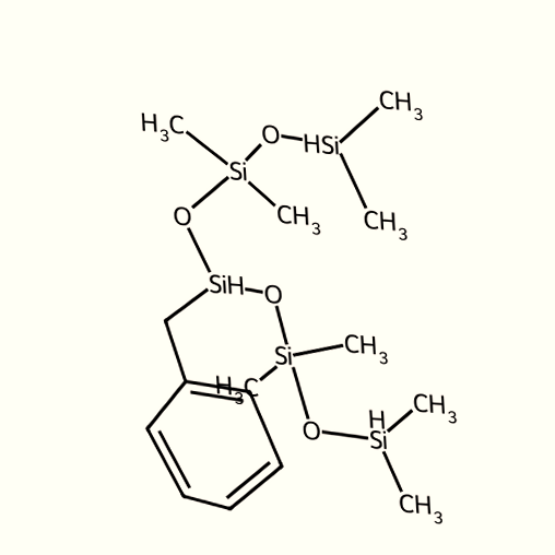 C[SiH](C)O[Si](C)(C)O[SiH](Cc1ccccc1)O[Si](C)(C)O[SiH](C)C